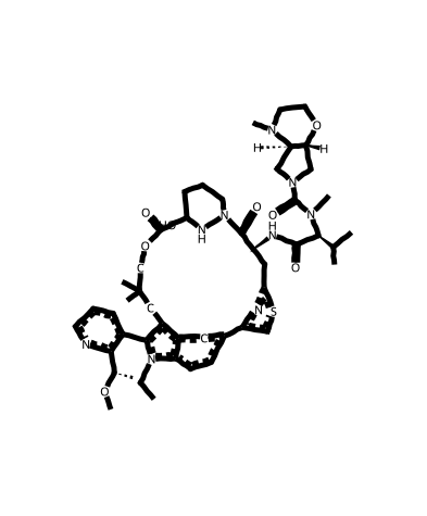 CCn1c(-c2cccnc2[C@H](C)OC)c2c3cc(ccc31)-c1csc(n1)C[C@H](NC(=O)[C@H](C(C)C)N(C)C(=O)N1C[C@@H]3[C@@H](C1)OCCN3C)C(=O)N1CCC[C@@](O)(N1)C(=O)OCC(C)(C)C2